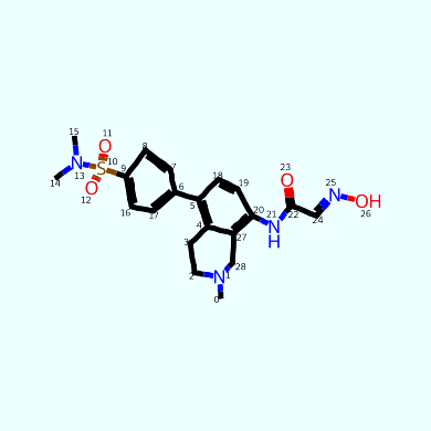 CN1CCc2c(-c3ccc(S(=O)(=O)N(C)C)cc3)ccc(NC(=O)/C=N/O)c2C1